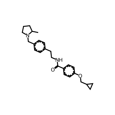 CC1CCCN1Cc1ccc(CCNC(=O)c2ccc(OCC3CC3)cc2)cc1